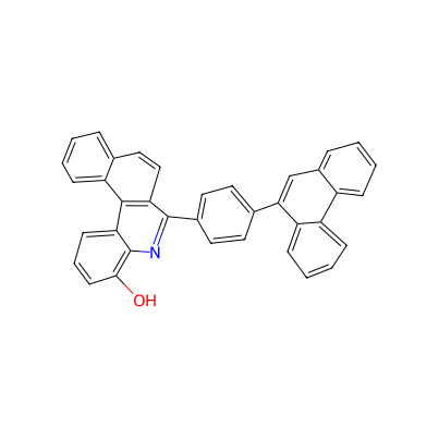 Oc1cccc2c1nc(-c1ccc(-c3cc4ccccc4c4ccccc34)cc1)c1ccc3ccccc3c12